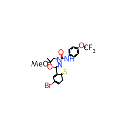 COC1(C)CN(C(=O)Nc2ccc(OC(F)(F)F)cc2)N=C(C2=CC(Br)=CCC2=S)O1